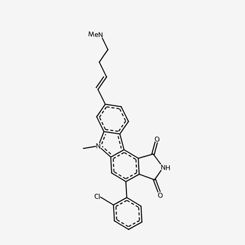 CNCC/C=C/c1ccc2c3c4c(c(-c5ccccc5Cl)cc3n(C)c2c1)C(=O)NC4=O